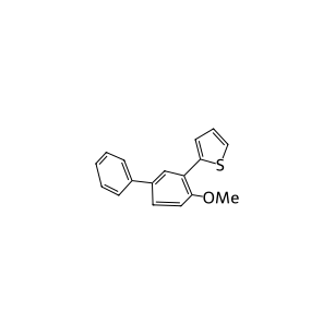 COc1ccc(-c2ccccc2)cc1-c1cccs1